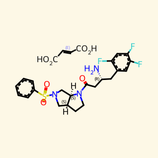 N[C@@H](CC(=O)N1CC[C@H]2CN(S(=O)(=O)c3ccccc3)C[C@H]21)Cc1cc(F)c(F)cc1F.O=C(O)/C=C/C(=O)O